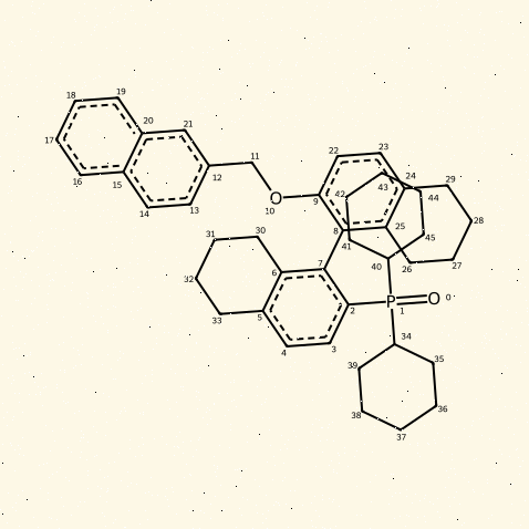 O=P(c1ccc2c(c1-c1c(OCc3ccc4ccccc4c3)ccc3c1CCCC3)CCCC2)(C1CCCCC1)C1CCCCC1